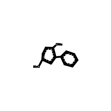 COc1c[c]c(OC)c(-c2ccccc2)c1